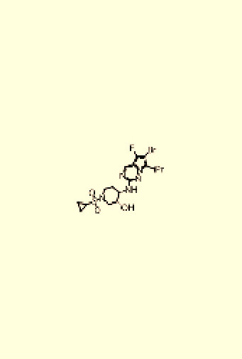 CC(C)c1c(Br)c(F)c2cnc(N[C@@H]3CCN(S(=O)(=O)C4CC4)C[C@H]3O)nn12